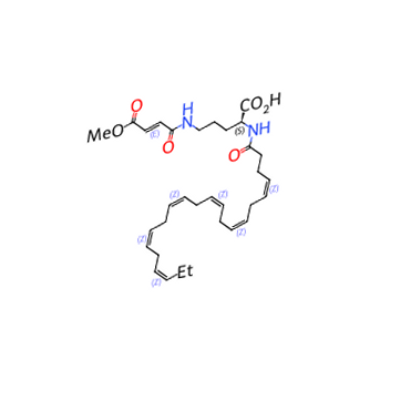 CC/C=C\C/C=C\C/C=C\C/C=C\C/C=C\C/C=C\CCC(=O)N[C@@H](CCCNC(=O)/C=C/C(=O)OC)C(=O)O